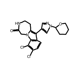 O=C1Cn2c(c(-c3cnn(C4CCCCO4)c3)c3ccc(Cl)c(Cl)c32)CCN1